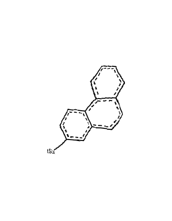 CC(C)(C)c1ccc2c(ccc3ccccc32)c1